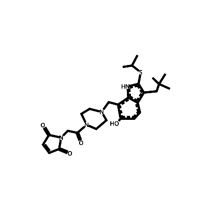 CC(C)Sc1[nH]c2c(CN3CCN(C(=O)CN4C(=O)C=CC4=O)CC3)c(O)ccc2c1CC(C)(C)C